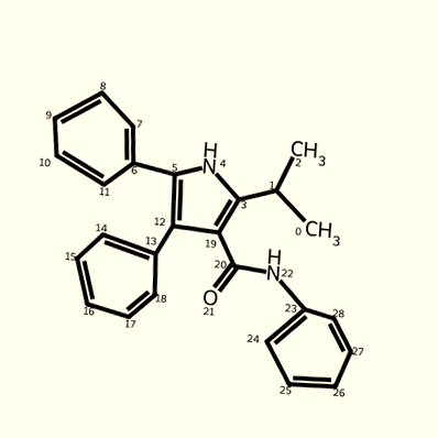 CC(C)c1[nH]c(-c2ccccc2)c(-c2ccccc2)c1C(=O)Nc1ccccc1